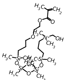 C=C(C)C(=O)OCCOCCC[Si](C)(C)O[Si](C)(C)O[Si](C)(C)O[Si](C)(C)CCC[N+](C)(C)CO